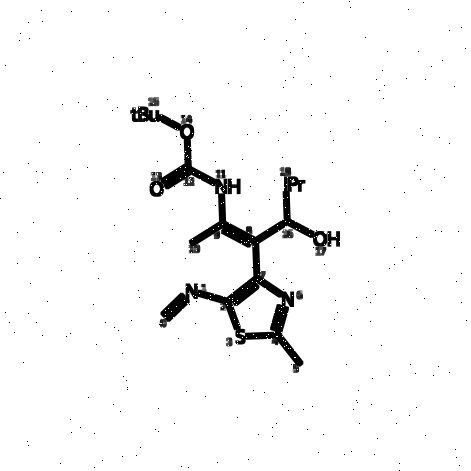 C=Nc1sc(C)nc1/C(=C(\C)NC(=O)OC(C)(C)C)C(O)C(C)C